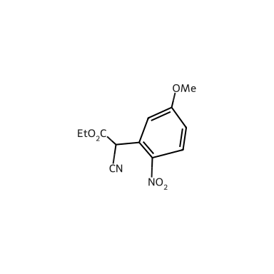 CCOC(=O)C(C#N)c1cc(OC)ccc1[N+](=O)[O-]